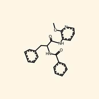 COc1ncccc1NC(=O)C(Cc1ccccc1)NC(=O)c1ccccc1